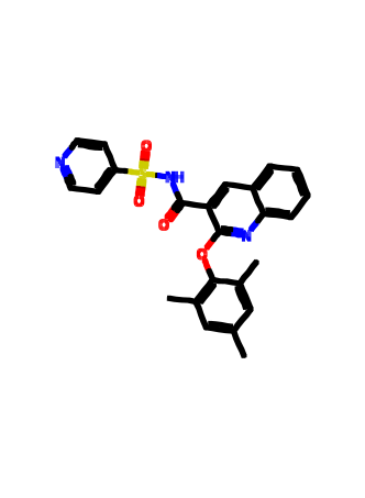 Cc1cc(C)c(Oc2nc3ccccc3cc2C(=O)NS(=O)(=O)c2ccncc2)c(C)c1